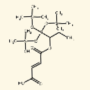 CCC(OC(=O)C=CC(=O)O)[Si](O[Si](C)(C)C)(O[Si](C)(C)C)O[Si](C)(C)C